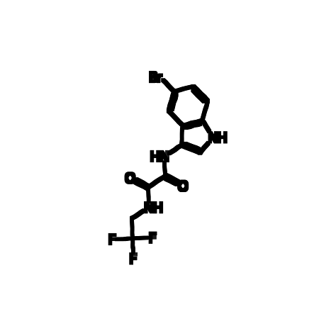 O=C(NCC(F)(F)F)C(=O)Nc1c[nH]c2ccc(Br)cc12